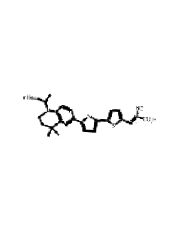 [C-]#[N+]/C(=C\c1ccc(-c2ccc(-c3ccc4c(c3)C(C)(C)CCN4C(C)CCCCCC)s2)s1)C(=O)O